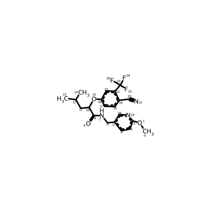 COc1ccc(CNC(=O)C(CC(C)C)Oc2ccc(C#N)c(C(F)(F)F)c2)cn1